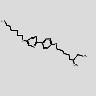 CCCCCCCOc1ccc(-c2ccc(OCCCCCC(C)CC)cc2)nc1